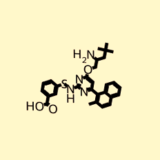 Cc1ccc2ccccc2c1-c1cc(OCC(N)CC(C)(C)C)nc(NSc2cccc(C(=O)O)c2)n1